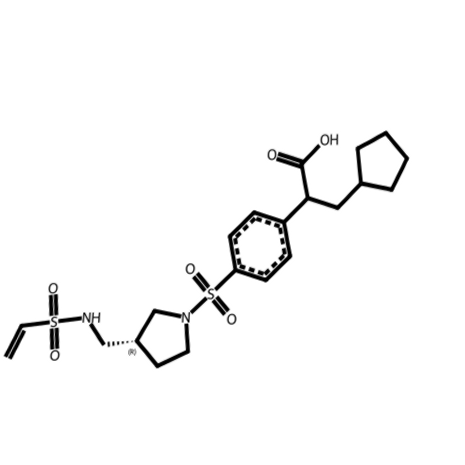 C=CS(=O)(=O)NC[C@H]1CCN(S(=O)(=O)c2ccc(C(CC3CCCC3)C(=O)O)cc2)C1